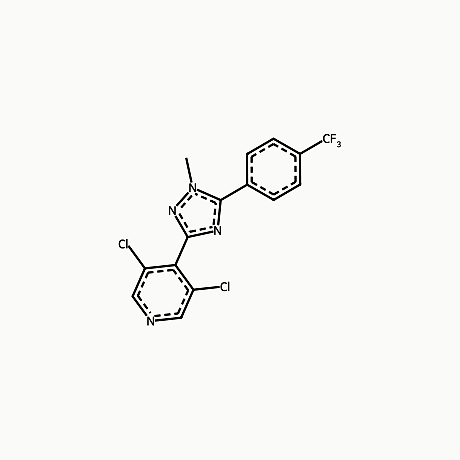 Cn1nc(-c2c(Cl)cncc2Cl)nc1-c1ccc(C(F)(F)F)cc1